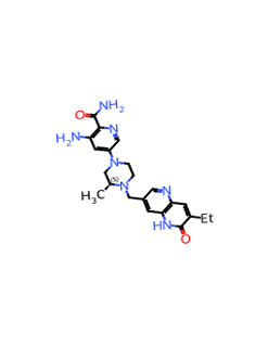 CCc1cc2ncc(CN3CCN(c4cnc(C(N)=O)c(N)c4)C[C@@H]3C)cc2[nH]c1=O